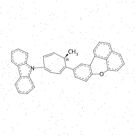 C[C@@H]1C=CC(n2c3ccccc3c3ccccc32)=CC=C1c1ccc2c(c1)-c1cccc3cccc(c13)O2